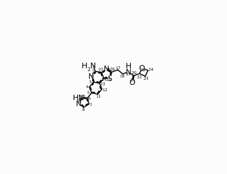 Nc1nc2cc(-c3ccn[nH]3)ccc2c2sc(CCNC(=O)C3CCO3)nc12